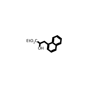 CCOC(=O)C(O)Cc1cccc2ccccc12